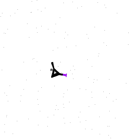 C[C@@H]1C=C1I